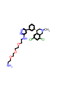 CN1Cc2c(Cl)cc(Cl)cc2[C@H](c2cccc(-c3cnnc(NCCOCCOCCOCCN)c3)c2)C1